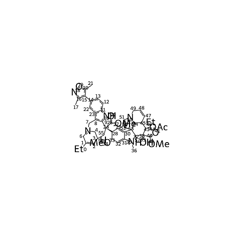 CCC1=C[C@H]2CN(C1)Cc1c([nH]c3ccc(-c4c(C)noc4C)cc13)[C@@](C(=O)OC)(C1C=C3C(=CC1OC)N(C)[C@H]1[C@@](O)(C(=O)OC)[C@H](OC(C)=O)[C@]4(CC)C=CCN5CC[C@]31[C@@H]54)C2